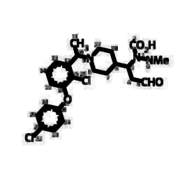 CNN(C(=O)O)C(CC=O)C1CCN(C(C)c2cccc(Oc3ccc(Cl)cc3)c2Cl)CC1